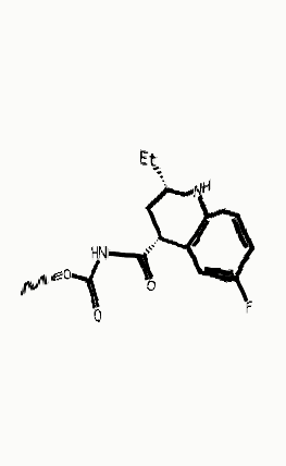 CC[C@H]1C[C@@H](C(=O)NC(=O)OC)c2cc(F)ccc2N1